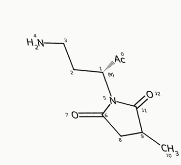 CC(=O)[C@@H](CCN)N1C(=O)CC(C)C1=O